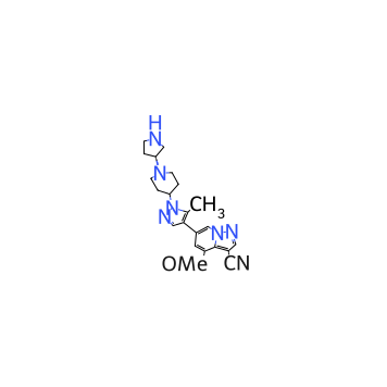 COc1cc(-c2cnn(C3CCN([C@H]4CCNC4)CC3)c2C)cn2ncc(C#N)c12